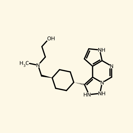 CN(CCO)C[C@H]1CC[C@H](C2=C3c4cc[nH]c4N=CN3NN2)CC1